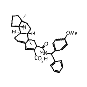 COc1ccc(C(NC(=O)C2C[C@@]3(C)C(=CC[C@H]4[C@@H]5CCC[C@@]5(C)CC[C@@H]43)C=C2C(=O)O)c2ccccc2)cc1